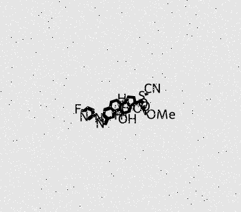 COCC(=O)O[C@]1(C(=O)SCC#N)CC[C@H]2[C@@H]3CCC4=Cc5c(cnn5-c5ccc(F)nc5)C[C@]4(C)[C@H]3[C@@H](O)C[C@@]21C